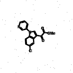 COC(=O)C(=O)c1cn(-c2cccnc2)c2ccc(Cl)cc12